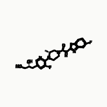 C[C@@H]1CN(C(=O)Nc2nc3cc(F)ccc3s2)CCN1c1ncc(C[C@@H](O)CO)cc1F